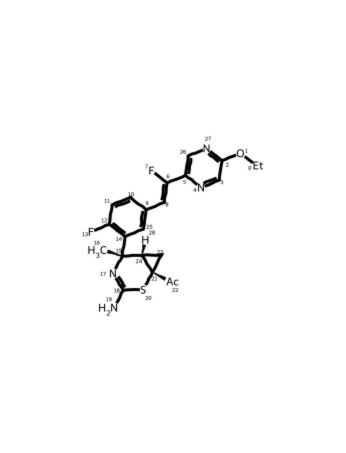 CCOc1cnc(/C(F)=C/c2ccc(F)c([C@@]3(C)N=C(N)S[C@@]4(C(C)=O)C[C@H]43)c2)cn1